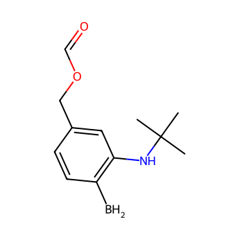 Bc1ccc(COC=O)cc1NC(C)(C)C